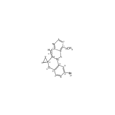 Cc1ccnc(C)c1CN1C(=O)C2(CC2)Oc2ccc(Br)cc21